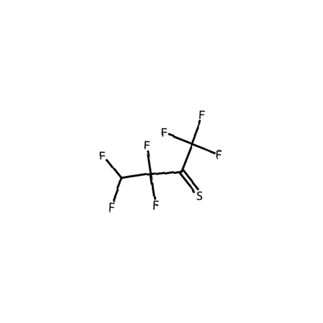 FC(F)C(F)(F)C(=S)C(F)(F)F